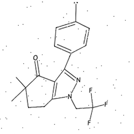 CN(C)c1ccc(-c2nn(CC(F)(F)F)c3c2C(=O)C(C)(C)CC3)cc1